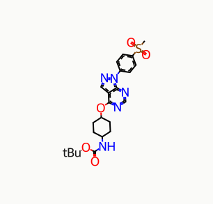 CC(C)(C)OC(=O)NC1CCC(Oc2ncnc3c2cnn3-c2ccc(S(C)(=O)=O)cc2)CC1